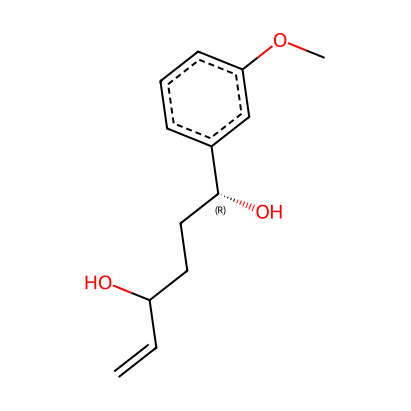 C=CC(O)CC[C@@H](O)c1cccc(OC)c1